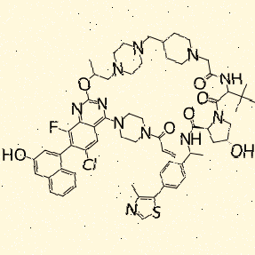 C=CC(=O)N1CCN(c2nc(OC(C)CN3CCN(CC4CCN(CC(=O)NC(C(=O)N5C[C@H](O)C[C@H]5C(=O)NC(C)c5ccc(-c6scnc6C)cc5)C(C)(C)C)CC4)CC3)nc3c(F)c(-c4cc(O)cc5ccccc45)c(Cl)cc23)CC1